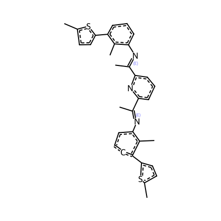 C/C(=N\c1cccc(-c2ccc(C)s2)c1C)c1cccc(/C(C)=N/c2cccc(-c3ccc(C)s3)c2C)n1